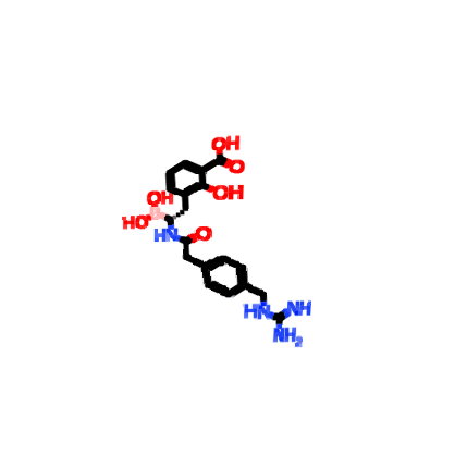 N=C(N)NCc1ccc(CC(=O)N[C@@H](Cc2cccc(C(=O)O)c2O)B(O)O)cc1